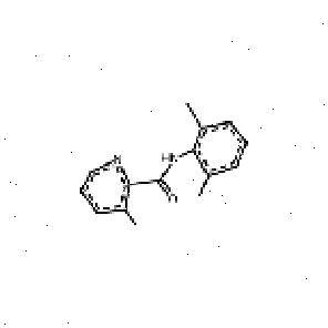 Cc1cccnc1C(=O)Nc1c(C)cccc1C